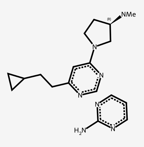 CN[C@@H]1CCN(c2cc(CCC3CC3)ncn2)C1.Nc1ncccn1